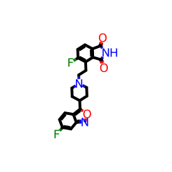 O=C1NC(=O)c2c1ccc(F)c2CCN1CCC(c2onc3cc(F)ccc23)CC1